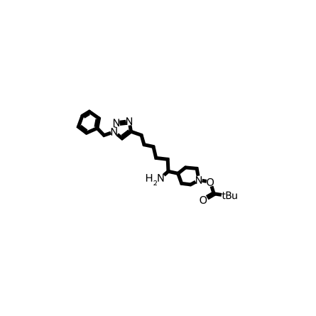 CC(C)(C)C(=O)ON1CCC(C(N)CCCCCc2cn(Cc3ccccc3)nn2)CC1